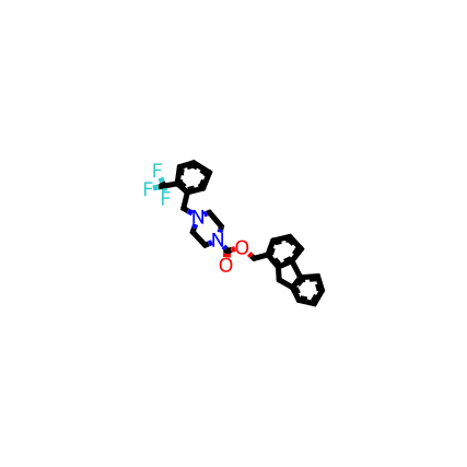 O=C(OCc1cccc2c1Cc1ccccc1-2)N1CCN(Cc2ccccc2C(F)(F)F)CC1